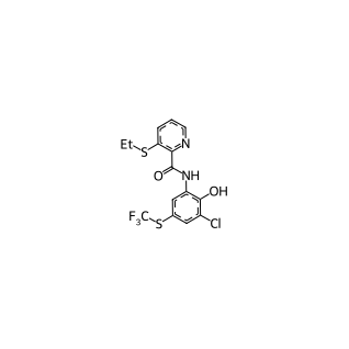 CCSc1cccnc1C(=O)Nc1cc(SC(F)(F)F)cc(Cl)c1O